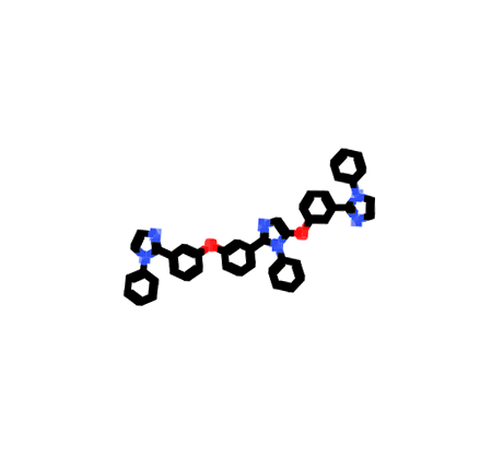 c1ccc(-n2ccnc2-c2cccc(Oc3cccc(-c4ncc(Oc5cccc(-c6nccn6-c6ccccc6)c5)n4-c4ccccc4)c3)c2)cc1